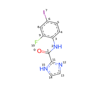 O=C(Nc1ccc(I)cc1F)c1ncc[nH]1